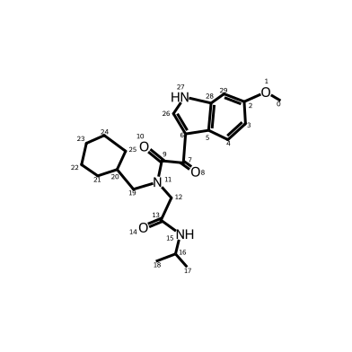 COc1ccc2c(C(=O)C(=O)N(CC(=O)NC(C)C)CC3CCCCC3)c[nH]c2c1